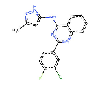 Cc1cc(Nc2nc(-c3ccc(F)c(Cl)c3)nc3ccccc23)[nH]n1